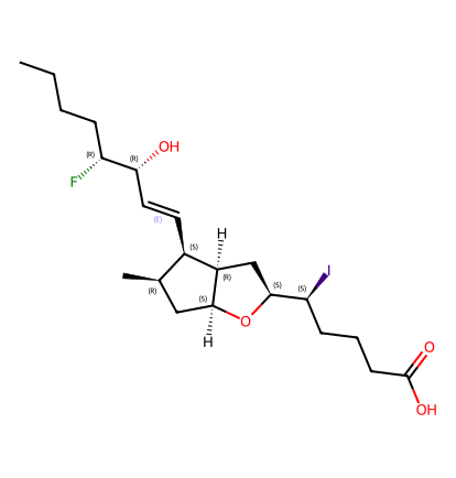 CCCC[C@@H](F)[C@H](O)/C=C/[C@H]1[C@H]2C[C@@H]([C@@H](I)CCCC(=O)O)O[C@H]2C[C@H]1C